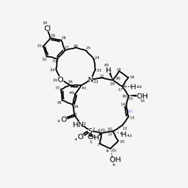 O=C1NS(=O)(=O)[C@H]2C[C@@H](O)C[C@@H]2C/C=C/[C@H](O)[C@@H]2CC[C@H]2CN2CCCCc3cc(Cl)ccc3COc3ccc1cc32